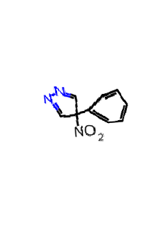 O=[N+]([O-])C1(c2ccccc2)C=NN=C1